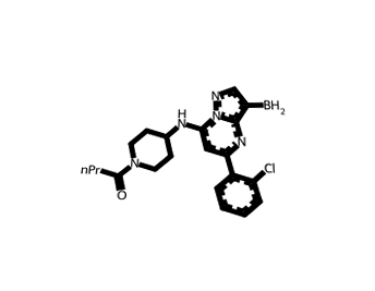 Bc1cnn2c(NC3CCN(C(=O)CCC)CC3)cc(-c3ccccc3Cl)nc12